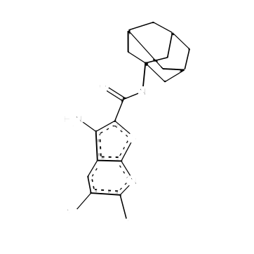 CC(=O)c1cc2c(N)c(C(=O)NC34CC5CC(CC(C5)C3)C4)sc2nc1C